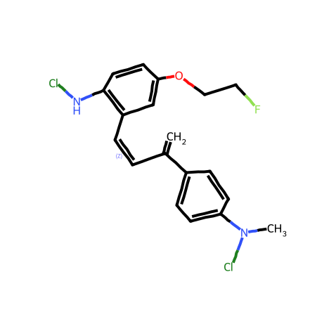 C=C(/C=C\c1cc(OCCF)ccc1NCl)c1ccc(N(C)Cl)cc1